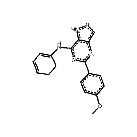 COc1ccc(-c2nc(NC3=CC=CCC3)c3[nH]ncc3n2)cc1